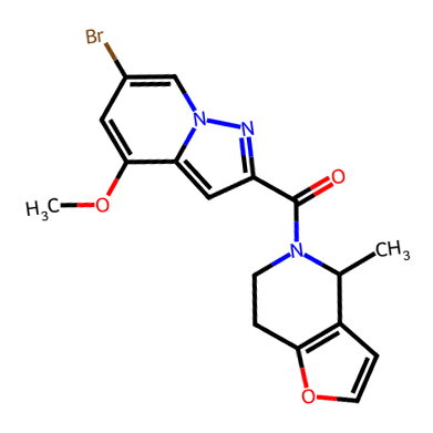 COc1cc(Br)cn2nc(C(=O)N3CCc4occc4C3C)cc12